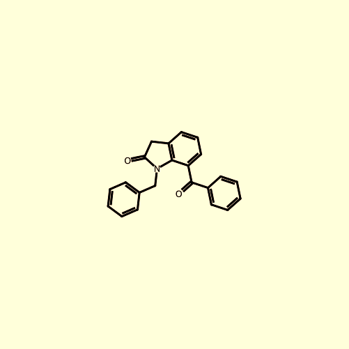 O=C(c1ccccc1)c1cccc2c1N(Cc1ccccc1)C(=O)C2